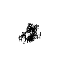 CCCCC(=O)OCCCCOC(=O)C(Cc1ccccc1)NP(=O)(OC[C@H]1O[C@@](C#N)(c2ccc3c(N)ncnn23)[C@H](O)[C@@H]1O)Oc1ccccc1